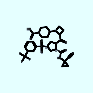 N#CC1(NC(=O)[C@@H]2C[C@@H](S(=O)(=O)c3cccc(C(F)(F)F)c3)CN2C(=O)C2CCN2C2CCN(C(=O)O)CC2)CC1